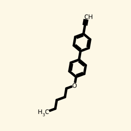 C#Cc1ccc(-c2ccc(OCCCCC)cc2)cc1